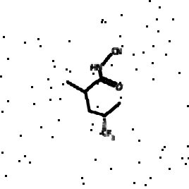 CC(C[C@H](C)C(F)(F)F)C(=O)NC#N